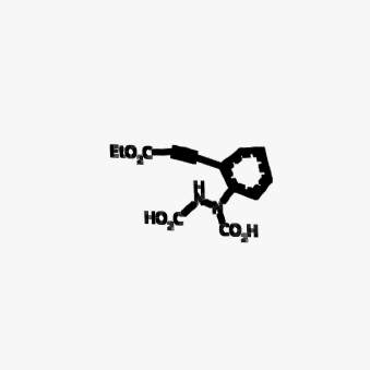 CCOC(=O)C#Cc1ccccc1N(NC(=O)O)C(=O)O